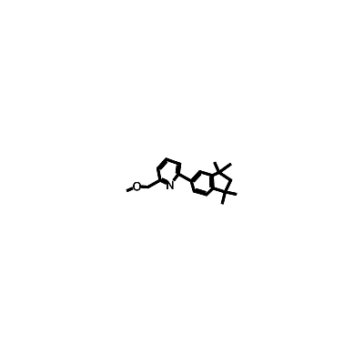 COCc1cccc(-c2ccc3c(c2)C(C)(C)CC3(C)C)n1